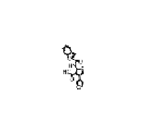 O=C(Nc1scc(-c2ccoc2)c1C(=O)O)c1cc2ccccc2o1